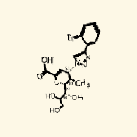 C[C@H]1[C@H]([C@H](O)C(O)CO)OC(C(=O)O)=C[C@@H]1n1cc(-c2ccccc2Br)nn1